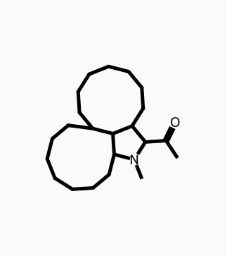 CC(=O)C1C2CCCCCCCC3CCCCCCCC(C32)N1C